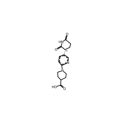 O=C1CC[C@H](c2ccc(N3CCC(C(=O)O)CC3)nc2)C(=O)N1